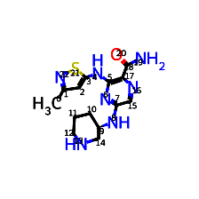 Cc1cc(Nc2nc(N[C@@H]3CCCNC3)cnc2C(N)=O)sn1